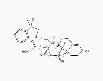 C[C@]12CCC(=O)C=C1CC[C@H]1[C@@H]3C[C@@H](OCC4(c5ccccc5)CO4)[C@](O)(C(=O)CO)[C@@]3(C)C[C@H](O)C12F